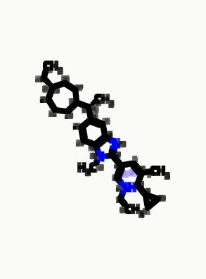 CCN/C=C(\C=C(\C)CC1CC1)c1nc2cc([C@@H](C)C3CCC[C@@H](CC)CC3)ccc2n1C